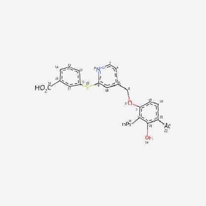 CCCc1c(OCc2ccnc(Sc3cccc(C(=O)O)c3)c2)ccc(C(C)=O)c1O